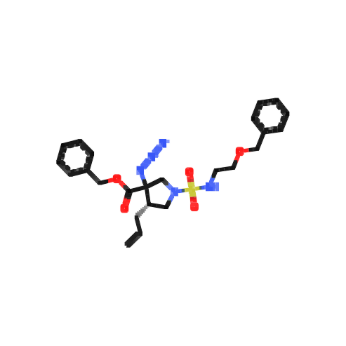 C=CC[C@H]1CN(S(=O)(=O)NCCOCc2ccccc2)CC1(N=[N+]=[N-])C(=O)OCc1ccccc1